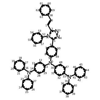 C(=Cc1nnc(-c2ccc(N(c3ccc(N(c4ccccc4)c4ccccc4)cc3)c3ccc(N(c4ccccc4)c4ccccc4)cc3)cc2)n1-c1ccccc1)c1ccccc1